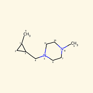 CC1CC1CN1CCN(C)CC1